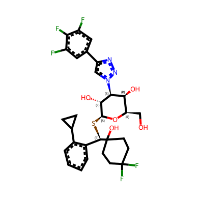 OC[C@H]1O[C@@H](S[C@H](c2ccccc2C2CC2)C2(O)CCC(F)(F)CC2)[C@H](O)[C@@H](n2cc(-c3cc(F)c(F)c(F)c3)nn2)[C@H]1O